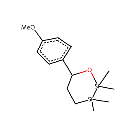 COc1ccc(C2CC[Si](C)(C)[Si](C)(C)O2)cc1